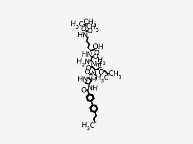 CCCCc1ccc(-c2ccc(C(=O)N[C@H]3CN[C@H](C(=O)N[C@H](C(=O)N[C@@H](N)C(=O)N[C@@H](CCCCNC(=O)OC(C)(C)C)C(=O)O)[C@@H](C)OCC(C)C)C3)cc2)cc1